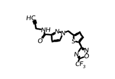 C#CCNC(=O)c1ccn(Cc2ccc(-c3noc(C(F)(F)F)n3)s2)n1